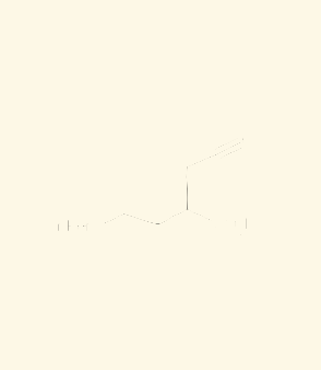 C#CCC(CCCCCCC)C(=O)O